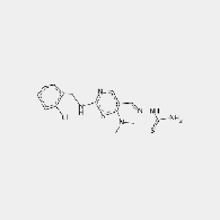 CN(C)c1nc(NCc2ccccc2Cl)ncc1C=NNC(N)=S